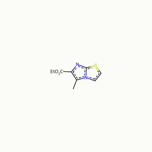 CCOC(=O)c1nc2sccn2c1C